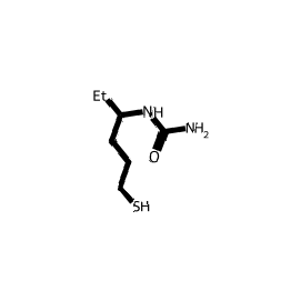 [CH2]CC(CCCS)NC(N)=O